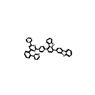 c1ccc(-c2cc(-c3ccccc3-c3cccnc3)nc(-c3ccc(-c4ccc(-c5ccc6c(c5)sc5ccccc56)c5oc6ccccc6c45)cc3)n2)cc1